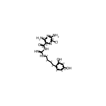 N=C(NCCCCc1ccc(O)cc1O)NC(=O)c1nc(Cl)c(N)nc1N